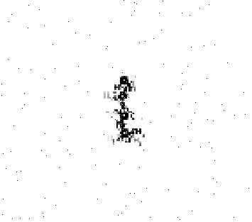 COc1cc(C2NC(=O)c3cc(Cl)ccc3N2)ccc1OCCOc1c(OC)cc(-c2cc(-c3cc(OC)c(OC)c(OC)c3)on2)cc1OC